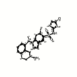 C[C@H](c1cccc2c1CC(N)CC2)n1ncc2cc(S(=O)(=O)Nc3ncc(Cl)s3)c(F)cc21